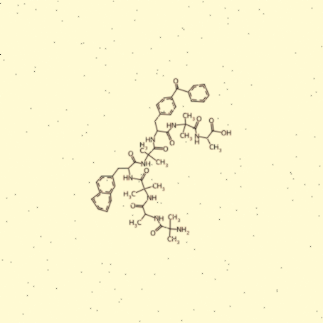 CC(NC(=O)C(C)(C)NC(=O)C(Cc1ccc(C(=O)c2ccccc2)cc1)NC(=O)C(C)(C)NC(=O)C(Cc1ccc2ccccc2c1)NC(=O)C(C)(C)NC(=O)C(C)NC(=O)C(C)(C)N)C(=O)O